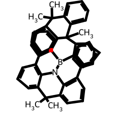 CC1(C)c2cccc(-c3ccccc3)c2N(B2c3ccccc3C3(C)c4ccccc4C(C)(C)c4cccc2c43)c2c(-c3ccccc3)cccc21